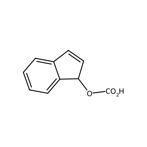 O=C(O)OC1C=Cc2ccccc21